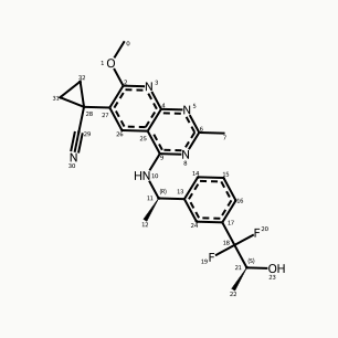 COc1nc2nc(C)nc(N[C@H](C)c3cccc(C(F)(F)[C@H](C)O)c3)c2cc1C1(C#N)CC1